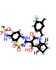 Cc1cc(CN2C(=O)C(C3=NS(=O)(=O)c4cc(NS(C)(=O)=O)ccc4N3)=C(O)C3C2[C@@H]2CC[C@H]3C2)ccc1F